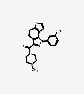 CN1CCN(C(=O)c2nn(-c3cccc(C#N)c3)c3c2CCc2sccc2-3)CC1